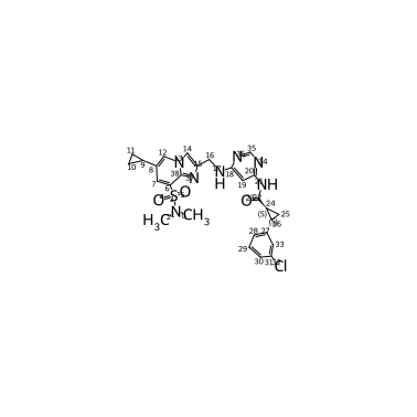 CN(C)S(=O)(=O)c1cc(C2CC2)cn2cc(CNc3cc(NC(=O)[C@H]4C[C@@H]4c4cccc(Cl)c4)ncn3)nc12